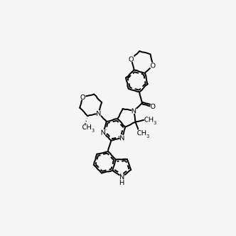 C[C@@H]1COCCN1c1nc(-c2cccc3[nH]ccc23)nc2c1CN(C(=O)c1ccc3c(c1)OCCO3)C2(C)C